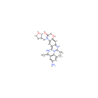 Cc1nc(N[C@H](C)c2cc(N)cc(C(F)(F)F)c2)c2cc3c(cc2n1)OCC(=O)N3CC1CCOC1